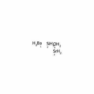 O.[BaH2].[SiH4].[SrH2]